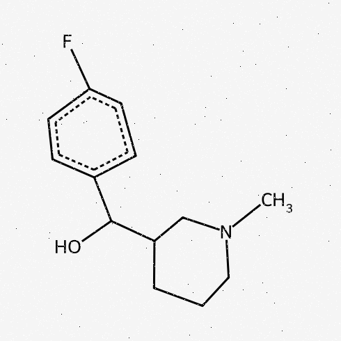 CN1CCCC(C(O)c2ccc(F)cc2)C1